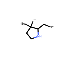 CCCCC1(CC)CCNC1CC(C)C